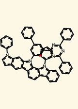 c1ccc(-c2cc(-c3nc(-c4ccccc4)nc(-c4ccccc4)n3)cc(-n3c4cc5c(ccn5-c5ccccc5)cc4c4ccc5c6ccccc6n(-c6ccccc6)c5c43)c2)cc1